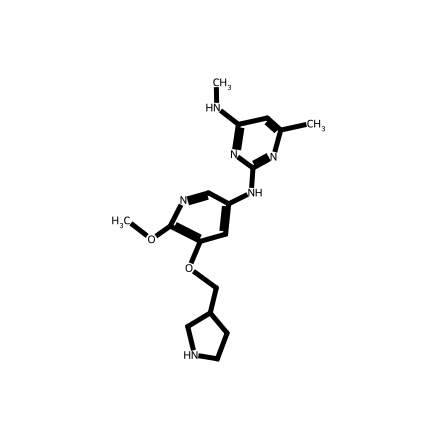 CNc1cc(C)nc(Nc2cnc(OC)c(OCC3CCNC3)c2)n1